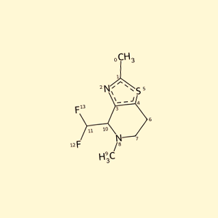 Cc1nc2c(s1)CCN(C)C2C(F)F